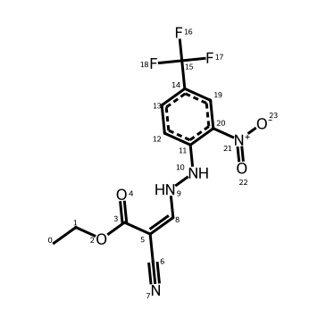 CCOC(=O)C(C#N)=CNNc1ccc(C(F)(F)F)cc1[N+](=O)[O-]